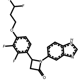 O=C1CC(c2ccc(OCCC(F)F)c(F)c2F)N1c1ccc2[nH]cnc2c1